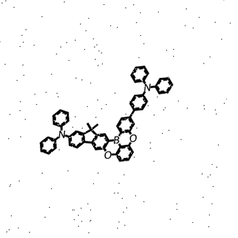 CC1(C)c2cc(N(c3ccccc3)c3ccccc3)ccc2-c2cc3c(cc21)B1c2ccc(-c4ccc(N(c5ccccc5)c5ccccc5)cc4)cc2Oc2cccc(c21)O3